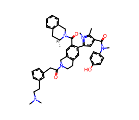 Cc1c(C(=O)N(C)c2ccc(O)cc2)cc(-c2cc3c(cc2C(=O)N2Cc4ccccc4C[C@H]2C)CN(C(=O)Cc2cccc(CCN(C)C)c2)CC3)n1C